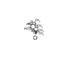 C=C(C)[C@]12C[C@@H](C)[C@@]34O[C@](c5ccccc5)(O[C@@H]1[C@@H]3[C@@H]1O[C@]1(CO)[C@@H](O)[C@]1(O)C(=O)C(C)=C[C@H]14)O2